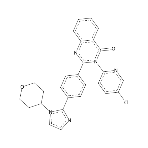 O=c1c2ccccc2nc(-c2ccc(-c3nccn3C3CCOCC3)cc2)n1-c1ccc(Cl)cn1